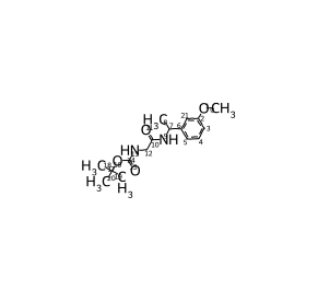 COc1cccc(C(C)NC(=O)CNC(=O)OC(C)(C)C)c1